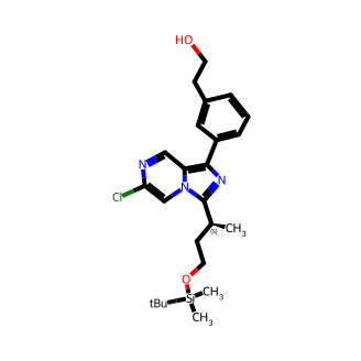 C[C@@H](CCO[Si](C)(C)C(C)(C)C)c1nc(-c2cccc(CCO)c2)c2cnc(Cl)cn12